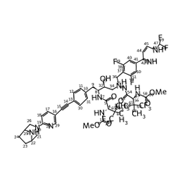 COC(=O)N[C@H](C(=O)N[C@@H](Cc1ccc(C#Cc2ccc(N3CC4CCC(C3)N4)nc2)cc1)[C@@H](O)CN(Cc1c(F)cc(C(=N)/C=C\NC(F)F)cc1F)NC(=O)[C@@H](NC(=O)OC)C(C)(C)C(F)(F)F)C(C)(C)C(F)(F)F